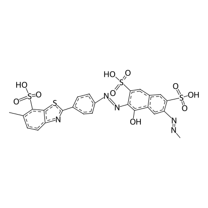 CN=Nc1cc2c(O)c(N=Nc3ccc(-c4nc5ccc(C)c(S(=O)(=O)O)c5s4)cc3)c(S(=O)(=O)O)cc2cc1S(=O)(=O)O